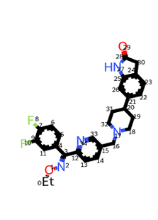 CCON=C(c1ccc(F)c(F)c1)c1ccc(CN2CCC(c3ccc4c(c3)NC(=O)C4)CC2)cn1